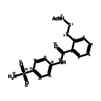 CC(=O)NSSc1ccccc1C(=O)Nc1ccc(S(N)(=O)=O)cc1